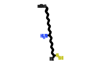 CCCCCCCCC=CCCCCCCCC(N)CCCCCCC(CC)SS